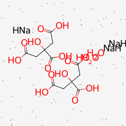 O.O.O=C(O)CC(O)(CC(=O)O)C(=O)O.O=C(O)CC(O)(CC(=O)O)C(=O)O.[NaH].[NaH].[NaH]